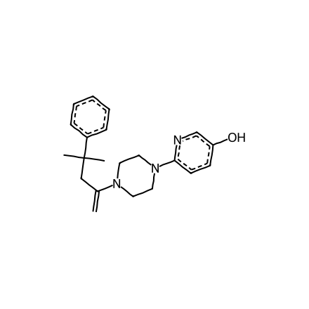 C=C(CC(C)(C)c1ccccc1)N1CCN(c2ccc(O)cn2)CC1